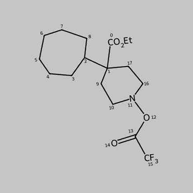 CCOC(=O)C1(C2CCCCCC2)CCN(OC(=O)C(F)(F)F)CC1